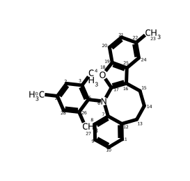 Cc1cc(C)c(N2c3ccccc3CCCc3c2oc2ccc(C)cc32)c(C)c1